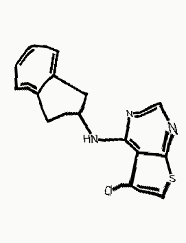 Clc1csc2ncnc(NC3Cc4ccccc4C3)c12